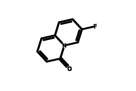 O=c1cccc2ccc(F)cn12